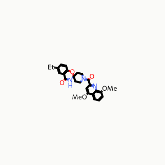 CCc1ccc2c(c1)C(=O)NC1(CCN(C(=O)c3cc(OC)c4cccc(OC)c4n3)CC1)O2